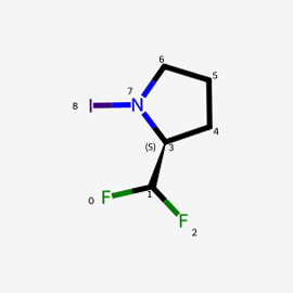 FC(F)[C@@H]1CCCN1I